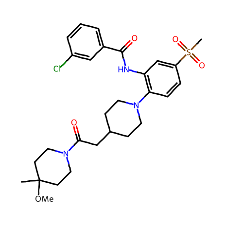 COC1(C)CCN(C(=O)CC2CCN(c3ccc(S(C)(=O)=O)cc3NC(=O)c3cccc(Cl)c3)CC2)CC1